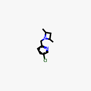 CC1CC(C)N1Cc1ccc(Cl)cn1